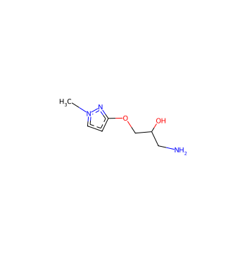 Cn1ccc(OCC(O)CN)n1